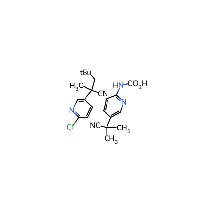 CC(C)(C#N)c1ccc(NC(=O)O)nc1.CC(C)(C)CC(C)(C#N)c1ccc(Cl)nc1